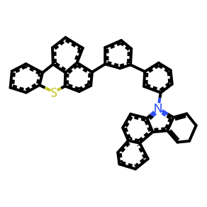 C1=c2c(n(-c3cccc(-c4cccc(-c5ccc6c7c(cccc57)-c5ccccc5S6)c4)c3)c3ccc4ccccc4c23)=CCC1